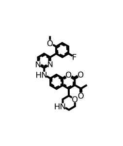 COc1ccc(F)cc1-c1ccnc(Nc2ccc3c(C4CNCCO4)c(C(C)=O)c(=O)oc3c2)n1